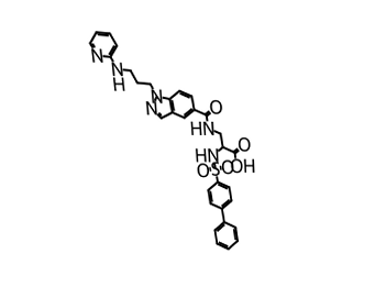 O=C(NCC(NS(=O)(=O)c1ccc(-c2ccccc2)cc1)C(=O)O)c1ccc2c(cnn2CCCNc2ccccn2)c1